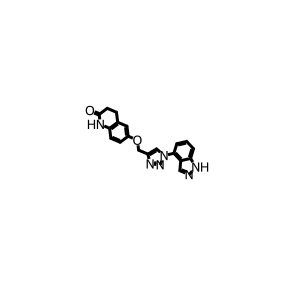 O=C1CCc2cc(OCc3cn(-c4cccc5[nH]ncc45)nn3)ccc2N1